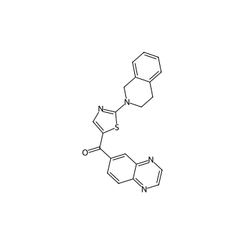 O=C(c1ccc2nccnc2c1)c1cnc(N2CCc3ccccc3C2)s1